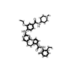 CCOc1cc(C(=O)NC2CCN(C)CC2)ccc1Nc1ncc2c(n1)-n1ccc(C(=O)Nc3c(C)cccc3CC)c1CC2